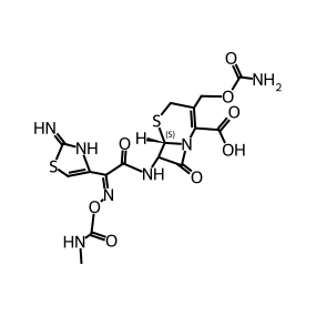 CNC(=O)ON=C(C(=O)NC1C(=O)N2C(C(=O)O)=C(COC(N)=O)CS[C@@H]12)c1csc(=N)[nH]1